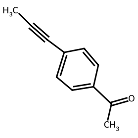 CC#Cc1ccc(C(C)=O)cc1